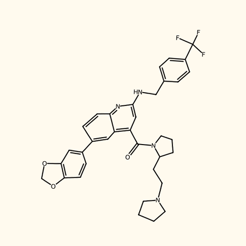 O=C(c1cc(NCc2ccc(C(F)(F)F)cc2)nc2ccc(-c3ccc4c(c3)OCO4)cc12)N1CCCC1CCN1CCCC1